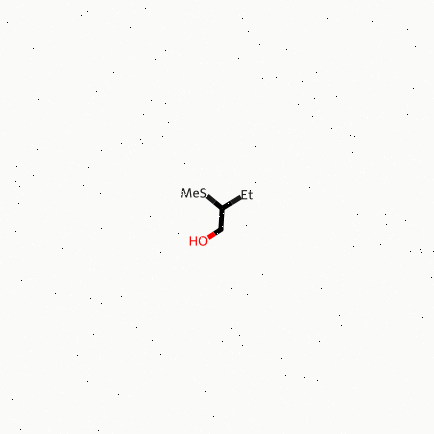 CCC(CO)SC